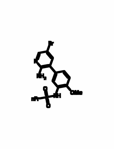 CCCS(=O)(=O)Nc1cc(-c2cc(Br)cnc2N)ccc1OC